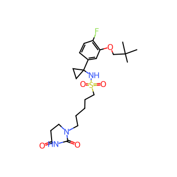 CC(C)(C)COc1cc(C2(NS(=O)(=O)CCCCCN3CCC(=O)NC3=O)CC2)ccc1F